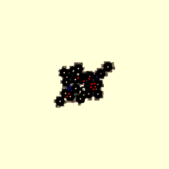 CC1(C)c2ccccc2-c2ccc(C3(c4ccc5c(c4)C(C)(C)c4cc(-c6cccc7ccc(C8(c9ccc%10ccccc%10c9)c9ccccc9-c9ccc(N(c%10ccc(-c%11ccccc%11)cc%10)c%10ccccc%10-c%10ccccc%10)cc98)cc67)ccc4-5)c4ccccc4-c4ccc(N(c5ccc(-c6ccccc6)cc5)c5ccccc5-c5ccccc5)cc43)cc21